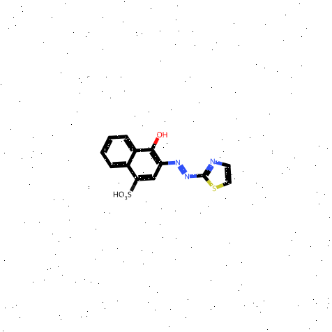 O=S(=O)(O)c1cc(/N=N/c2nccs2)c(O)c2ccccc12